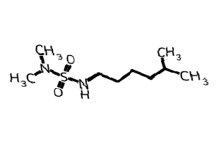 CC(C)CCCCNS(=O)(=O)N(C)C